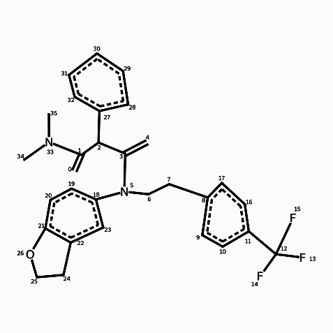 C=C(C(C(=C)N(CCc1ccc(C(F)(F)F)cc1)c1ccc2c(c1)CCO2)c1ccccc1)N(C)C